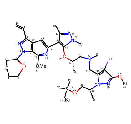 C=Cc1nn(C2CCCCO2)c2c(OC)nc(-c3c(C)nn(C)c3O[C@@H](C)CN(C)Cc3c(I)c(OCC)nn3[C@@H](C)CO[Si](C)(C)C(C)(C)C)cc12